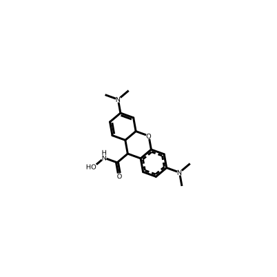 CN(C)C1=CC2Oc3cc(N(C)C)ccc3C(C(=O)NO)C2C=C1